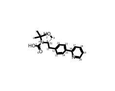 CC(C)(C)N(C(=O)O)[C@H](CO)Cc1ccc(-c2ccccn2)cc1